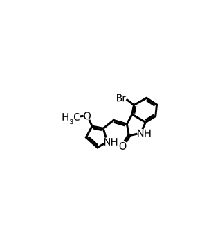 COc1cc[nH]c1/C=C1\C(=O)Nc2cccc(Br)c21